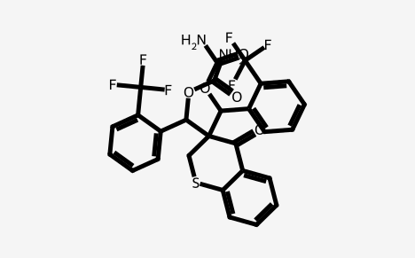 NC(=O)OC(c1ccccc1C(F)(F)F)C1(C(OC(N)=O)c2ccccc2C(F)(F)F)CSc2ccccc2C1=O